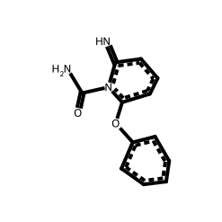 N=c1cccc(Oc2ccccc2)n1C(N)=O